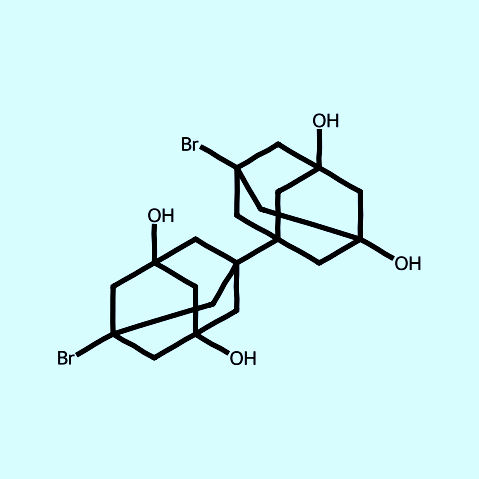 OC12CC3(O)CC(Br)(C1)CC(C14CC5(O)CC(O)(CC(Br)(C5)C1)C4)(C2)C3